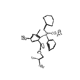 CCCCC(CC)COC(=O)c1cc(C(C)(C)C)cc(C)c1C(c1ccccc1)N(CC1CCCCC1)C(=O)OCC